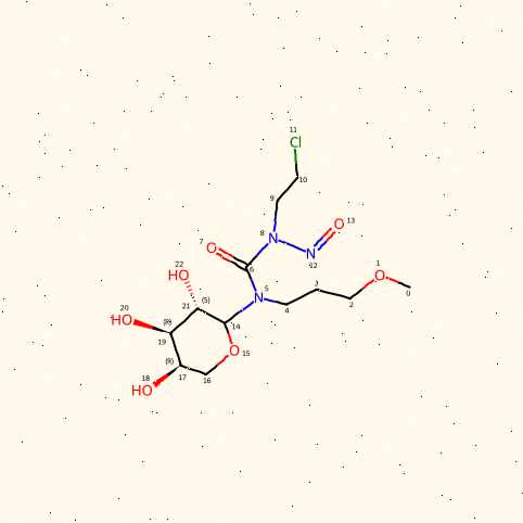 COCCCN(C(=O)N(CCCl)N=O)C1OC[C@@H](O)[C@@H](O)[C@@H]1O